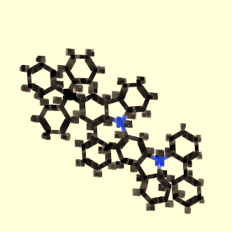 c1ccc(-c2ccccc2-n2c3ccccc3c3ccc(-n4c5ccccc5c5cc([Si](c6ccccc6)(c6ccccc6)c6ccccc6)cc(-c6ccccc6)c54)cc32)cc1